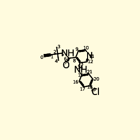 C#CC(C)(C)NC(=O)c1ccncc1Nc1ccc(Cl)cc1